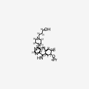 CC(C)OC1C=C(C(=N)c2cc(N3CCN(CCCO)CC3)ncn2)C(N)=CC1F